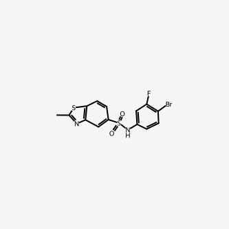 Cc1nc2cc(S(=O)(=O)Nc3ccc(Br)c(F)c3)ccc2s1